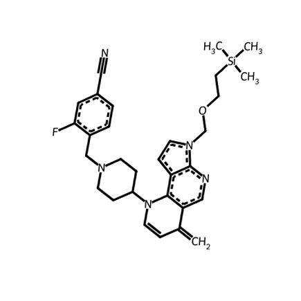 C=C1C=CN(C2CCN(Cc3ccc(C#N)cc3F)CC2)c2c1cnc1c2ccn1COCC[Si](C)(C)C